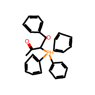 CC(=O)C(C(=O)c1ccccc1)[PH](c1ccccc1)(c1ccccc1)c1ccccc1